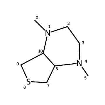 CN1CCN(C)C2CSCC21